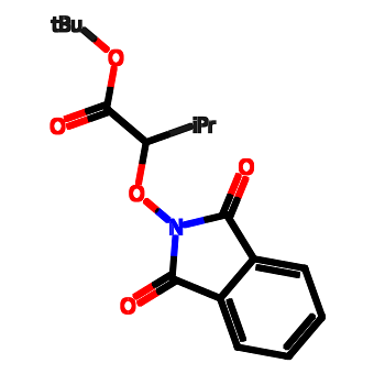 CC(C)C(ON1C(=O)c2ccccc2C1=O)C(=O)OC(C)(C)C